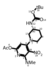 CNc1nc(OC(C)=O)cc(N2CCC[C@@H](NC(=O)OC(C)(C)C)C2)c1[N+](=O)[O-]